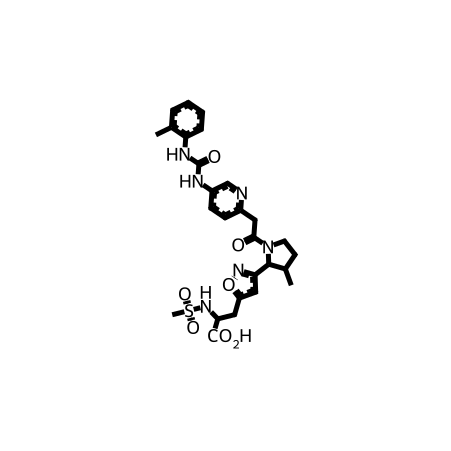 Cc1ccccc1NC(=O)Nc1ccc(CC(=O)N2CCC(C)C2c2cc(CC(NS(C)(=O)=O)C(=O)O)on2)nc1